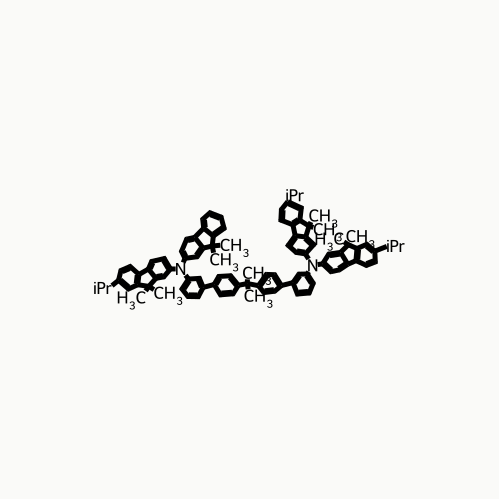 CC(C)c1ccc2c(c1)C(C)(C)c1cc(N(c3cccc(-c4ccc(C(C)(C)c5ccc(-c6cccc(N(c7ccc8c(c7)C(C)(C)c7cc(C(C)C)ccc7-8)c7ccc8c(c7)C(C)(C)c7cc(C(C)C)ccc7-8)c6)cc5)cc4)c3)c3ccc4c(c3)C(C)(C)c3ccccc3-4)ccc1-2